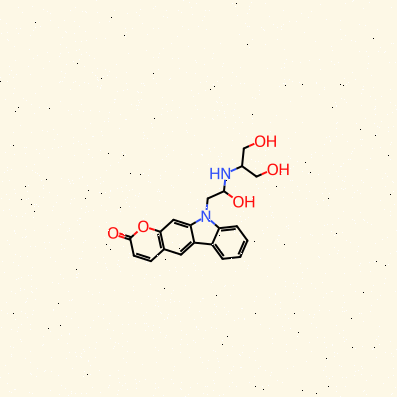 O=c1ccc2cc3c4ccccc4n(CC(O)NC(CO)CO)c3cc2o1